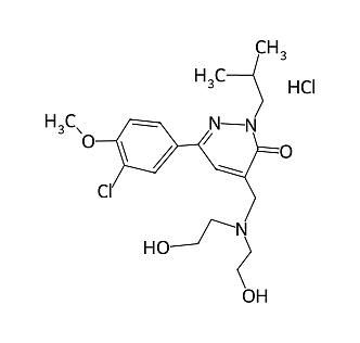 COc1ccc(-c2cc(CN(CCO)CCO)c(=O)n(CC(C)C)n2)cc1Cl.Cl